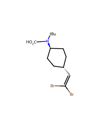 CC(C)(C)N(C(=O)O)[C@H]1CC[C@H](C=C(Br)Br)CC1